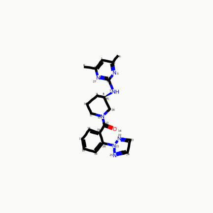 Cc1cc(C)nc(N[C@@H]2CCCN(C(=O)c3ccccc3-n3nccn3)C2)n1